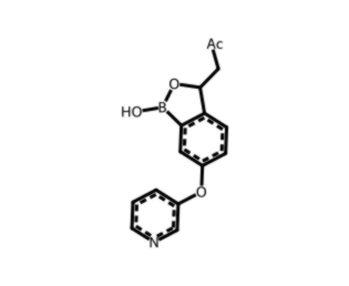 CC(=O)CC1OB(O)c2cc(Oc3cccnc3)ccc21